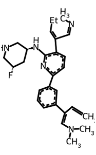 C=C/C(=C\N(C)C)c1cccc(-c2ccc(C(/C=N\C)=C/CC)c(N[C@@H]3CNC[C@@H](F)C3)n2)c1